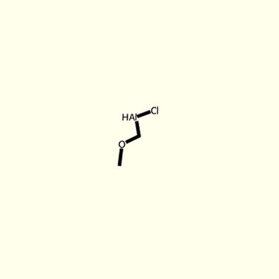 CO[CH2][AlH][Cl]